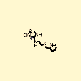 CN/C(=N\[N+](=O)[O-])NCCSCc1ccsn1